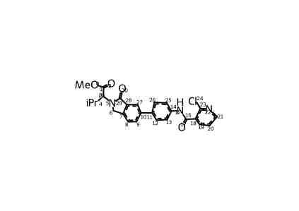 COC(=O)[C@H](C(C)C)N1Cc2ccc(-c3ccc(NC(=O)c4cccnc4Cl)cc3)cc2C1=O